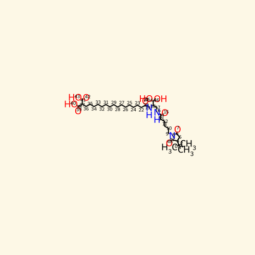 CC(C)(C)C1CC(=O)N(CCCCCC(=O)NCC(NC(=O)CCCCCCCCCCCCCCCC(C(=O)O)C(=O)O)C(O)O)C1=O